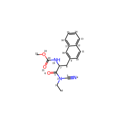 CCN(C#N)C(=O)C(Cc1ccc2ccccc2c1)NC(=O)OC